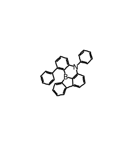 c1ccc(-c2cccc3c2B2c4ccccc4-c4cccc(c42)N3c2ccccc2)cc1